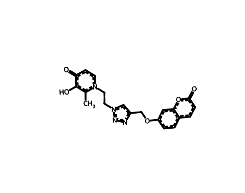 Cc1c(O)c(=O)ccn1CCn1cc(COc2ccc3ccc(=O)oc3c2)nn1